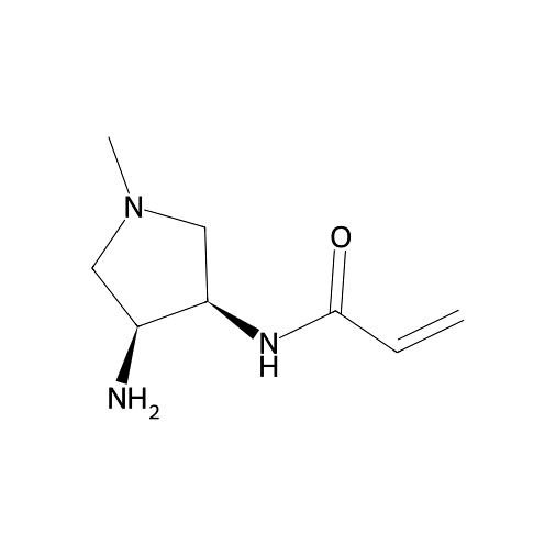 C=CC(=O)N[C@@H]1CN(C)C[C@@H]1N